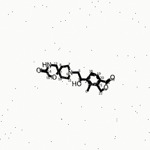 Cc1c(C(O)CN2CCC3(CC2)CNC(=O)CO3)ccc2c1COC2=O